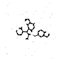 O=C(O)c1c(-c2ccc[nH]c2=O)c2c3occc3c(F)cc2n1Cc1ccc2sccc2c1